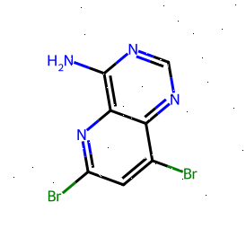 Nc1ncnc2c(Br)cc(Br)nc12